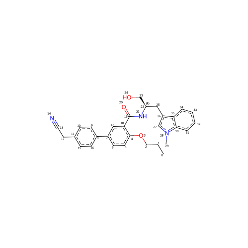 CCCOc1ccc(-c2ccc(CC#N)cc2)cc1C(=O)N[C@@H](CO)Cc1cn(C)c2ccccc12